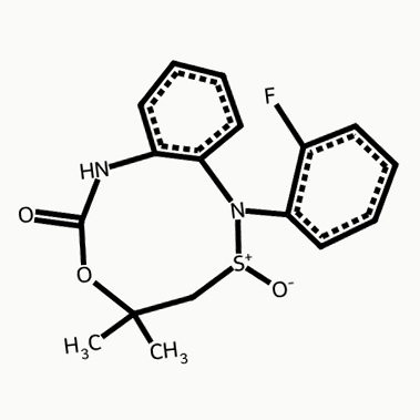 CC1(C)C[S+]([O-])N(c2ccccc2F)c2ccccc2NC(=O)O1